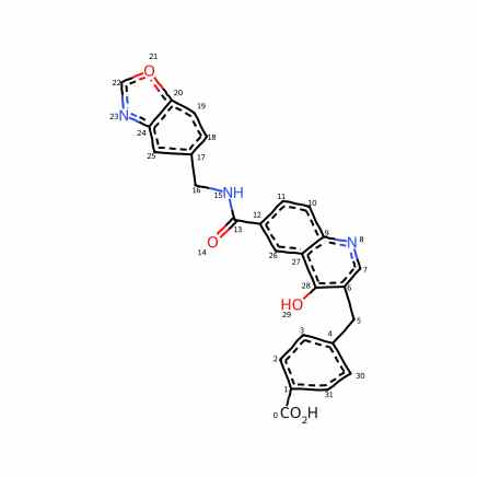 O=C(O)c1ccc(Cc2cnc3ccc(C(=O)NCc4ccc5ocnc5c4)cc3c2O)cc1